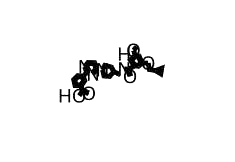 COc1cc(OCC2CC2)cc(C(=O)NCC2CCN(c3ccnc(-c4cccc(C(=O)O)c4)n3)CC2)c1